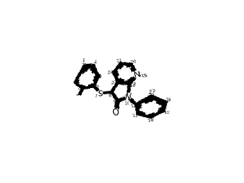 Cc1ccccc1SC1C(=O)N(c2ccccc2)c2ncccc21